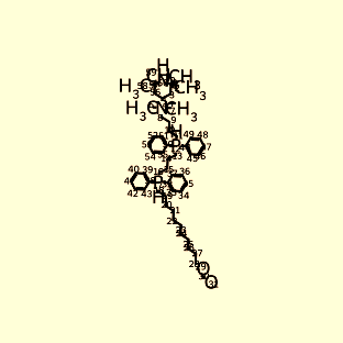 CC1(C)CC([N+](C)(C)CCCC[PH](CCCC[PH](CCCCCCCCCCCOC=O)(c2ccccc2)c2ccccc2)(c2ccccc2)c2ccccc2)CC(C)(C)N1